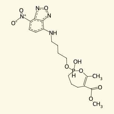 COC(=O)C1=C(C)O[PH](O)(OCCCCNc2ccc([N+](=O)[O-])c3nonc23)CCC1